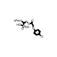 CCCCCC(=NOC(=O)COc1ccc(Cl)cc1)P(=O)(O)O